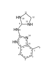 Cc1cccc2[nH]c(NC3NCCN3)nc12